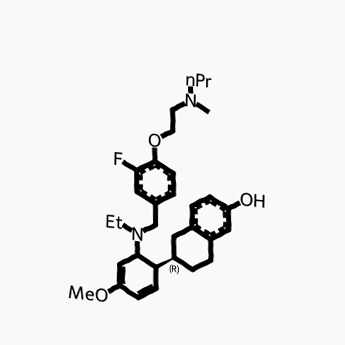 CCCN(C)CCOc1ccc(CN(CC)C2C=C(OC)C=CC2[C@@H]2CCc3cc(O)ccc3C2)cc1F